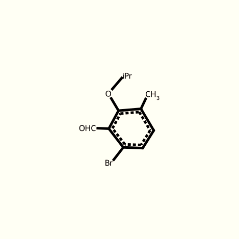 Cc1ccc(Br)c(C=O)c1OC(C)C